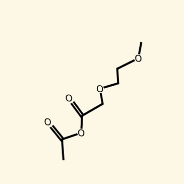 COCCOCC(=O)OC(C)=O